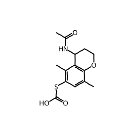 CC(=O)NC1CCOc2c(C)cc(SC(=O)O)c(C)c21